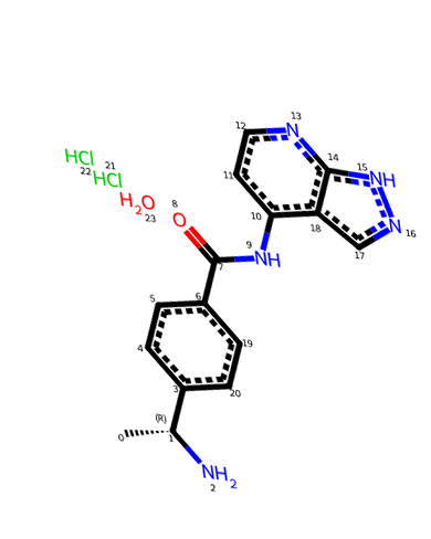 C[C@@H](N)c1ccc(C(=O)Nc2ccnc3[nH]ncc23)cc1.Cl.Cl.O